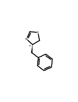 C1=N[C@H](Cc2ccccc2)CS1